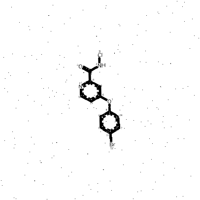 O=C(NCl)c1cc(Oc2ccc(Br)cc2)ccn1